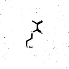 C=C(C)C(=O)OCCNC(C)=O